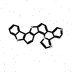 c1ccc2c(c1)sc1ccc3c(sc4ccc5c6cnccc6c6nccn6c5c43)c12